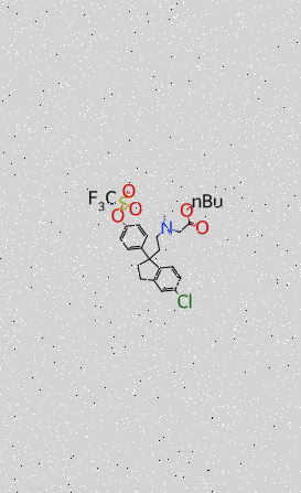 CCCCOC(=O)CN(C)CCC1(c2ccc(OS(=O)(=O)C(F)(F)F)cc2)CCc2cc(Cl)ccc21